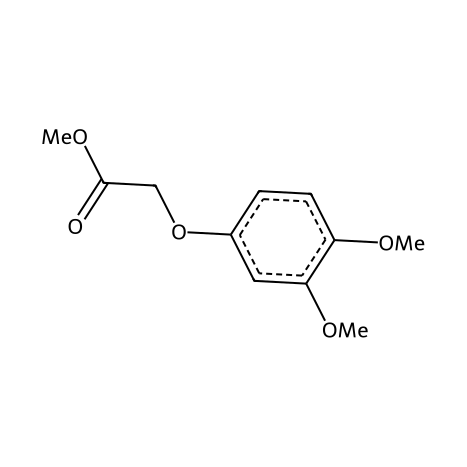 COC(=O)COc1ccc(OC)c(OC)c1